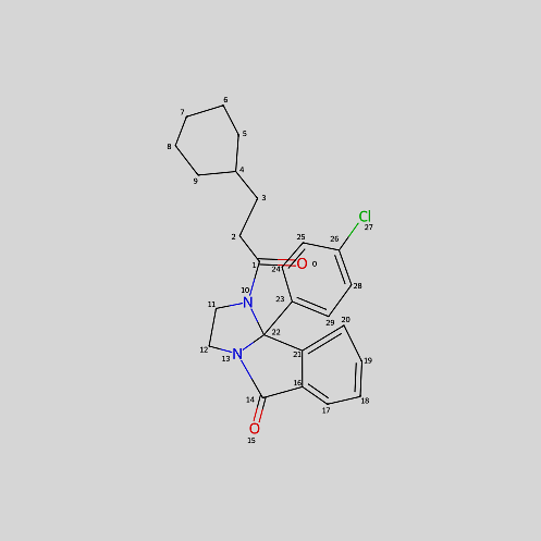 O=C(CCC1CCCCC1)N1CCN2C(=O)c3ccccc3C12c1ccc(Cl)cc1